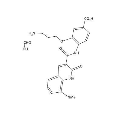 CNc1cccc2cc(C(=O)Nc3ccc(C(=O)O)cc3OCCCN)c(=O)[nH]c12.O=CO